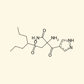 CCCC(CCC)S(=O)(=O)CC(N)(C(N)=O)C(=O)c1cn[nH]c1